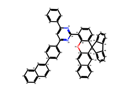 c1ccc(-c2cc(-c3ccc(-c4ccc5ccccc5c4)cc3)nc(-c3cccc4c3Oc3cc5ccccc5cc3C43c4ccccc4-c4ccccc43)n2)cc1